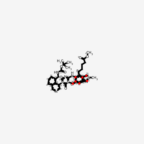 COC(=O)CCCCc1c(Nc2nc(=O)n(-c3cncc4cccc(CNC(=O)OC(C)(C)C)c34)c(=O)n2Cc2cc(F)c(F)c(F)c2)c(Cl)cc2nn(C)cc12